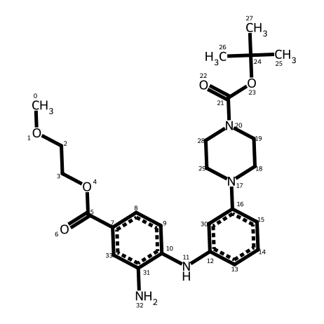 COCCOC(=O)c1ccc(Nc2cccc(N3CCN(C(=O)OC(C)(C)C)CC3)c2)c(N)c1